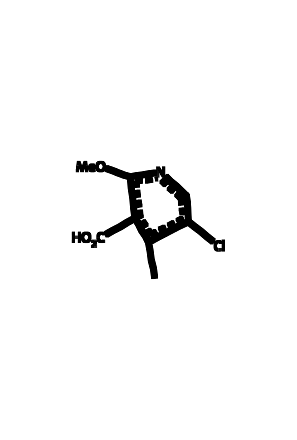 COc1ncc(Cl)c(C)c1C(=O)O